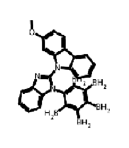 Bc1c(B)c(B)c(-n2c(-n3c4ccccc4c4ccc(OC)cc43)nc3ccccc32)c(B)c1B